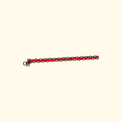 COCCOCCOCCOCCOCCOCCOCCOCCOCCOCCOCCOCCOCCOCCOCCOCCOCCOCCOCCOCCOCCOCCOCCOCCOCCOCCOCCOCCOCCOCCS(=O)(=O)CCC(C)(C)N(Cl)Cl